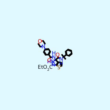 CCOC(=O)N1NC(NC(=O)c2ccc(N3CCOCC3)cc2)(C(=O)NC(C)(C)c2ccccc2)c2ccsc21